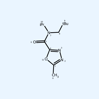 Cc1nnc(C(=O)N(CC(C)(C)C)C(C)C)o1